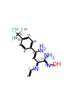 C=C/N=C(\C=C(/N)c1ccc(C(F)(F)F)cc1)C(/N)=N/O